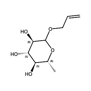 C=CCOC1O[C@H](C)[C@@H](O)[C@H](O)[C@H]1O